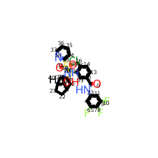 O=C(Nc1cc(F)c(F)c(F)c1)c1ccc(Cl)c(S[C@@H]2CC3CC[C@@H](C2)[C@@]3(O)CNS(=O)(=O)c2ccccn2)c1